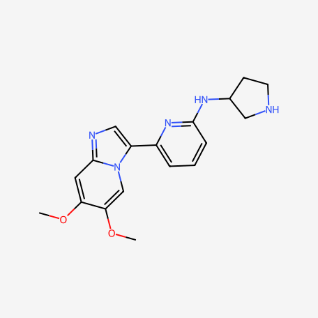 COc1cc2ncc(-c3cccc(NC4CCNC4)n3)n2cc1OC